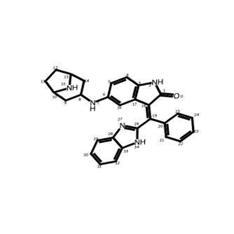 O=C1Nc2ccc(NC3CC4CCC(C3)N4)cc2C1=C(c1ccccc1)c1nc2ccccc2[nH]1